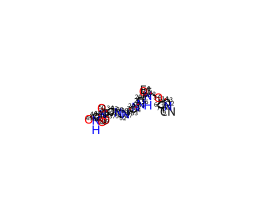 CCC(CCOc1ccc(C#N)c2ncccc12)NC(=O)c1ccc(N2CCC(CN3CCN(c4ccc5c(c4)C(=O)N(C4CCC(=O)NC4=O)C5=O)CC3)CC2)nc1